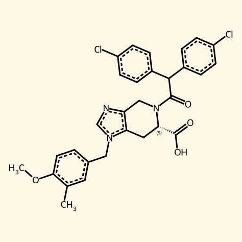 COc1ccc(Cn2cnc3c2C[C@@H](C(=O)O)N(C(=O)C(c2ccc(Cl)cc2)c2ccc(Cl)cc2)C3)cc1C